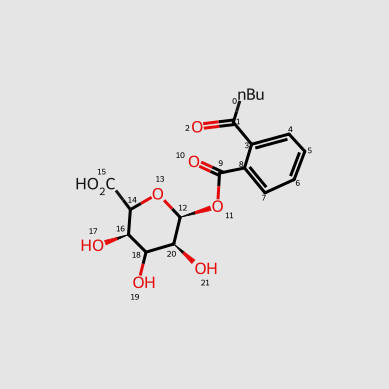 CCCCC(=O)c1ccccc1C(=O)O[C@@H]1OC(C(=O)O)[C@H](O)C(O)[C@@H]1O